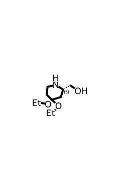 CCOC1(OCC)CCN[C@H](CO)C1